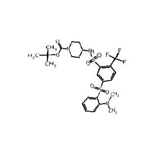 CN(C)c1ccccc1S(=O)(=O)c1ccc(C(F)(F)F)c(S(=O)(=O)NC2CCN(C(=O)OC(C)(C)C)CC2)c1